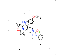 COc1ccc2c3c([nH]c2c1)[C@H](C)N(C(C)=O)CC31CCN(C(=O)Nc2ccccc2F)CC1